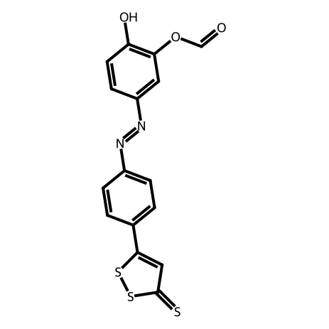 O=COc1cc(N=Nc2ccc(-c3cc(=S)ss3)cc2)ccc1O